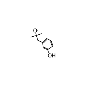 CC(C)([O])Cc1cccc(O)c1